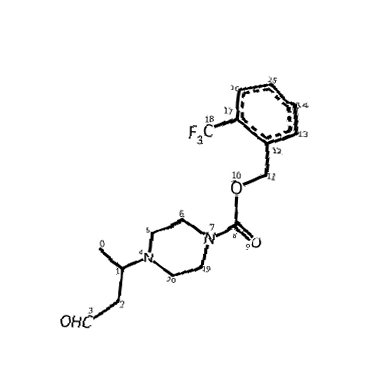 CC(CC=O)N1CCN(C(=O)OCc2ccccc2C(F)(F)F)CC1